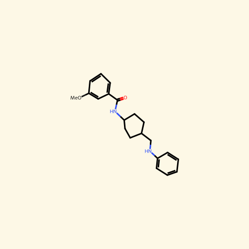 COc1cccc(C(=O)NC2CCC(CNc3ccccc3)CC2)c1